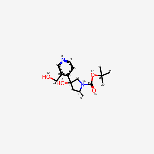 C[C@H]1CC(O)(c2ccncc2CO)CN1C(=O)OC(C)(C)C